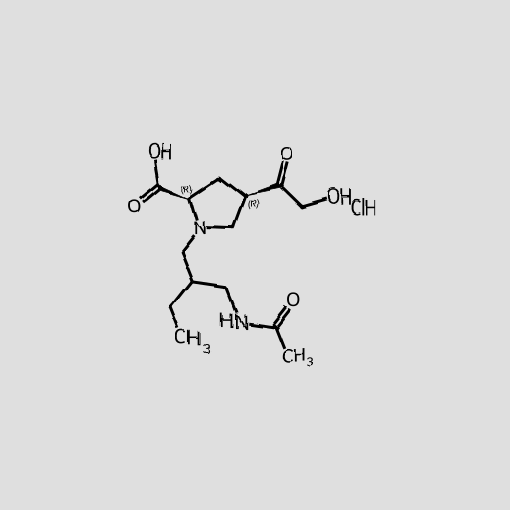 CCC(CNC(C)=O)CN1C[C@H](C(=O)CO)C[C@@H]1C(=O)O.Cl